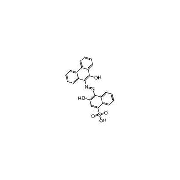 O=S(=O)(O)c1cc(O)c(N=Nc2c(O)c3ccccc3c3ccccc23)c2ccccc12